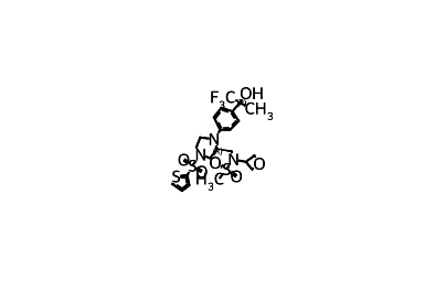 C[C@@](O)(c1ccc(N2CCN(S(=O)(=O)c3cccs3)C[C@@H]2CN(C2COC2)S(C)(=O)=O)cc1)C(F)(F)F